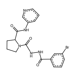 O=C(NNC(=O)N1CCCC1C(=O)Nc1cccnc1)c1cccc(Br)c1